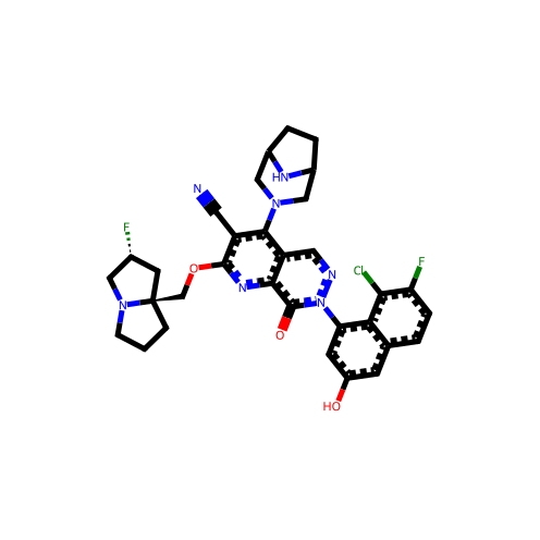 N#Cc1c(OC[C@@]23CCCN2C[C@H](F)C3)nc2c(=O)n(-c3cc(O)cc4ccc(F)c(Cl)c34)ncc2c1N1CC2CCC(C1)N2